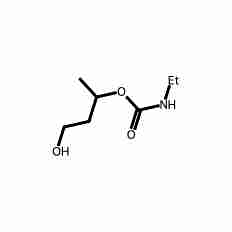 CCNC(=O)OC(C)CCO